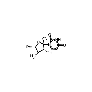 CC(C)[C@H]1O[C@@](C#N)(n2ccc(=O)[nH]c2=O)[C@H](O)[C@@H]1C